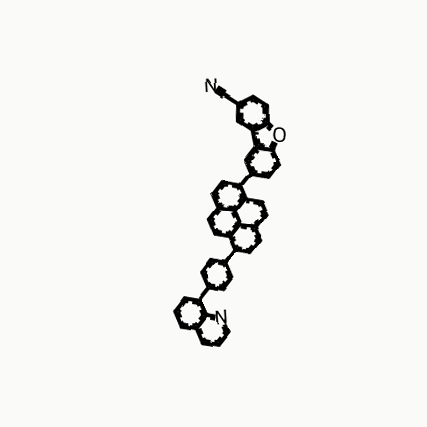 N#Cc1ccc2oc3ccc(-c4ccc5ccc6c(-c7ccc(-c8cccc9cccnc89)cc7)ccc7ccc4c5c76)cc3c2c1